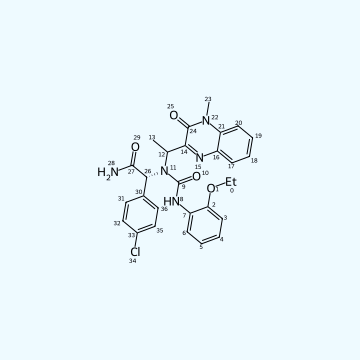 CCOc1ccccc1NC(=O)N(C(C)c1nc2ccccc2n(C)c1=O)[C@@H](C(N)=O)c1ccc(Cl)cc1